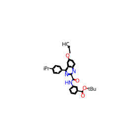 C#CCOc1ccc2nc(C(=O)Nc3cccc(C(=O)OC(C)(C)C)c3)nc(-c3ccc(C(C)C)cc3)c2c1